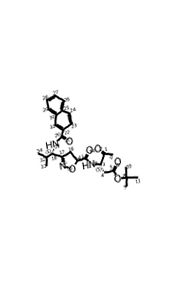 CC(=O)[C@H](CC(=O)OC(C)(C)C)NC(=O)C1CC([C@@H](NC(=O)c2ccc3ccccc3c2)C(C)C)=NO1